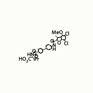 COc1c(Cl)cc(Cl)c2oc(C(=O)Nc3ccc(-c4ccc(S(=O)(=O)N[C@H](C(=O)O)C(C)C)cc4)cc3)c(C)c12